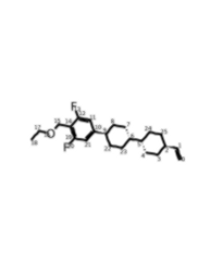 C=C[C@H]1CC[C@H]([C@H]2CC[C@H](c3cc(F)c(COCC)c(F)c3)CC2)CC1